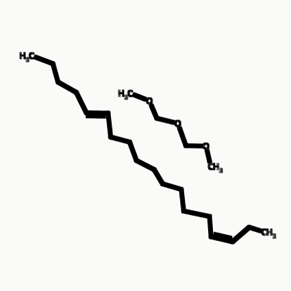 CC/C=C\CCCCCCCC/C=C/CCCC.COCOCOC